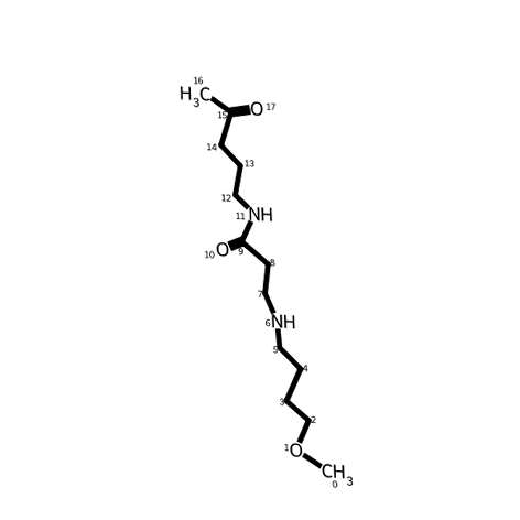 COCCCCNCCC(=O)NCCCC(C)=O